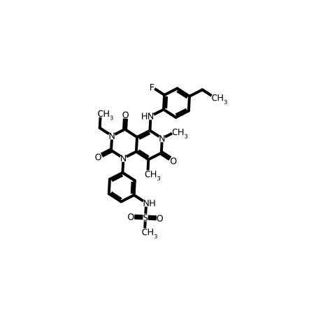 CCc1ccc(Nc2c3c(=O)n(CC)c(=O)n(-c4cccc(NS(C)(=O)=O)c4)c3c(C)c(=O)n2C)c(F)c1